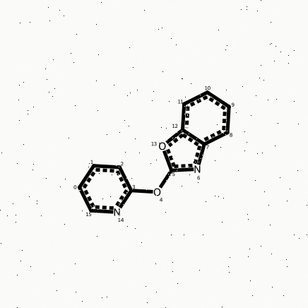 c1ccc(Oc2nc3ccccc3o2)nc1